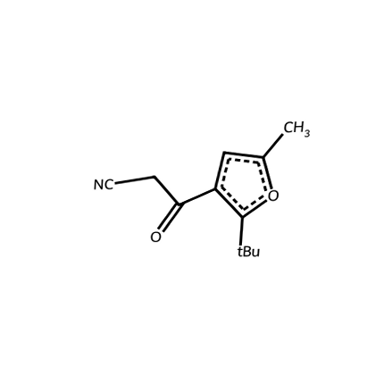 Cc1cc(C(=O)CC#N)c(C(C)(C)C)o1